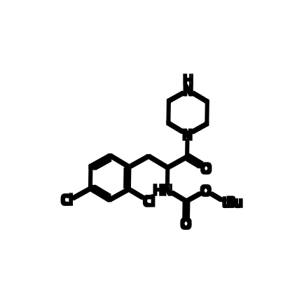 CC(C)(C)OC(=O)NC(Cc1ccc(Cl)cc1Cl)C(=O)N1CCNCC1